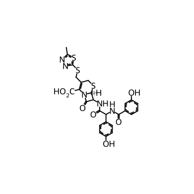 Cc1nnc(SCC2=C(C(=O)O)N3C(=O)C(NC(=O)C(NC(=O)c4cccc(O)c4)c4ccc(O)cc4)[C@@H]3SC2)s1